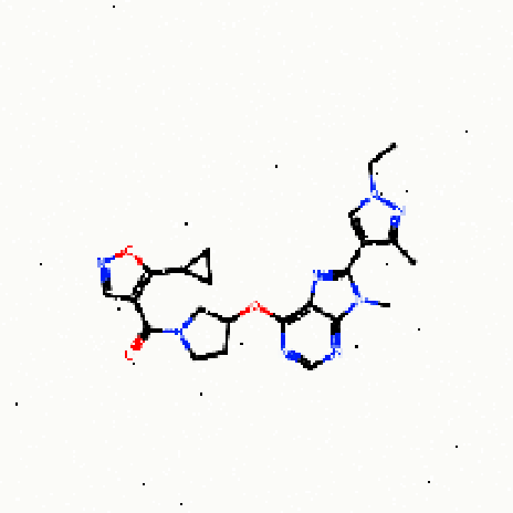 CCn1cc(-c2nc3c(OC4CCN(C(=O)c5cnoc5C5CC5)C4)ncnc3n2C)c(C)n1